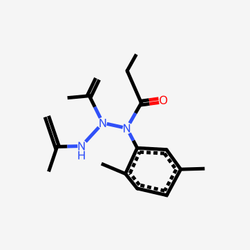 C=C(C)NN(C(=C)C)N(C(=O)CC)c1cc(C)ccc1C